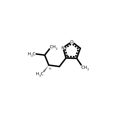 Cc1conc1C[C@H](C)C(C)C